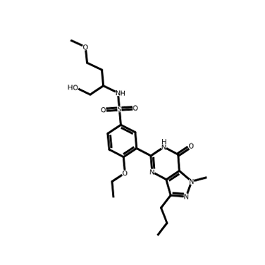 CCCc1nn(C)c2c(=O)[nH]c(-c3cc(S(=O)(=O)NC(CO)CCOC)ccc3OCC)nc12